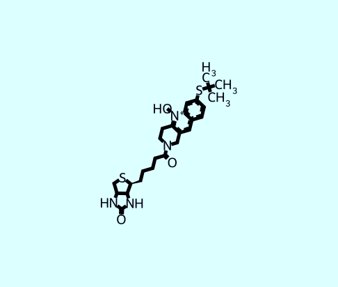 CC(C)(C)Sc1ccc2cc3c([n+](O)c2c1)CCN(C(=O)CCCC[C@@H]1SCC2NC(=O)NC21)C3